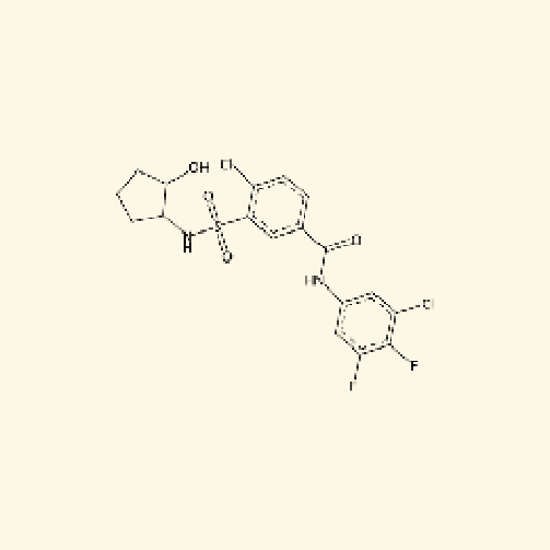 O=C(Nc1cc(F)c(F)c(Cl)c1)c1ccc(Cl)c(S(=O)(=O)NC2CCCC2O)c1